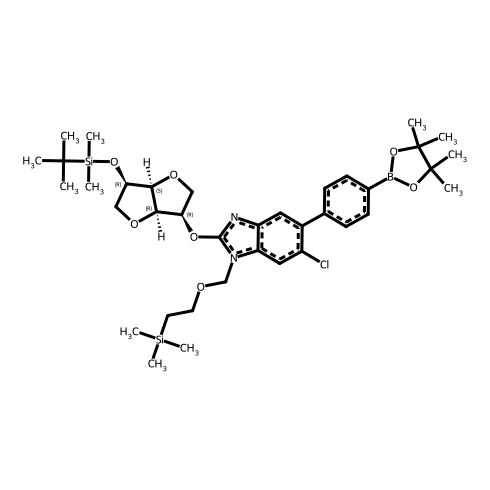 CC1(C)OB(c2ccc(-c3cc4nc(O[C@@H]5CO[C@H]6[C@@H]5OC[C@H]6O[Si](C)(C)C(C)(C)C)n(COCC[Si](C)(C)C)c4cc3Cl)cc2)OC1(C)C